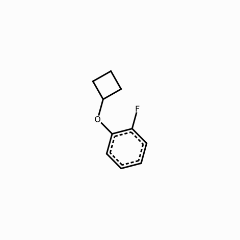 Fc1ccccc1OC1CCC1